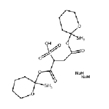 O=C(CC(C(=O)OC1([SiH3])CCCCO1)S(=O)(=O)O)OC1([SiH3])CCCCO1.[NaH].[NaH]